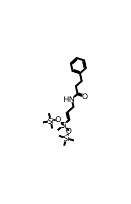 C[Si](C)(C)O[Si](C)(/C=C/CNC(=O)CCc1ccccc1)O[Si](C)(C)C